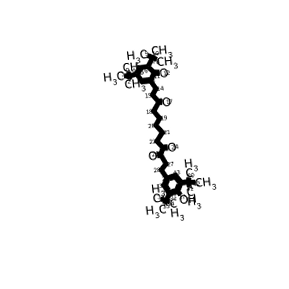 CC(C)(C)C1=CC(C(C)(C)C)C(=O)C(CCC(=O)CCCCCC(=O)C(=O)CCc2cc(C(C)(C)C)c(O)c(C(C)(C)C)c2)=C1